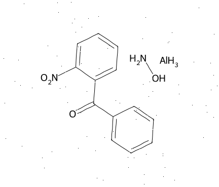 NO.O=C(c1ccccc1)c1ccccc1[N+](=O)[O-].[AlH3]